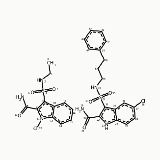 CCNS(=O)(=O)c1c(C(N)=O)n(Cl)c2ccccc12.NC(=O)c1[nH]c2ccc(Cl)cc2c1S(=O)(=O)NCCCc1ccccc1